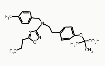 CC(C)(Oc1ccc(CCN(Cc2ccc(C(F)(F)F)cc2)c2noc(CCC(F)(F)F)n2)cc1)C(=O)O